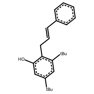 CC(C)(C)c1cc(O)c(CC=Cc2ccccc2)c(C(C)(C)C)c1